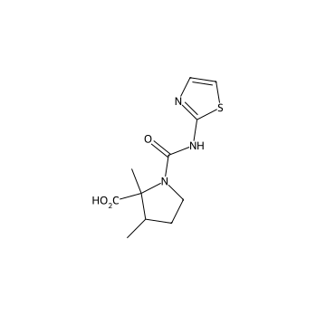 CC1CCN(C(=O)Nc2nccs2)C1(C)C(=O)O